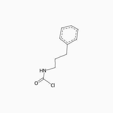 O=C(Cl)NCCCc1ccccc1